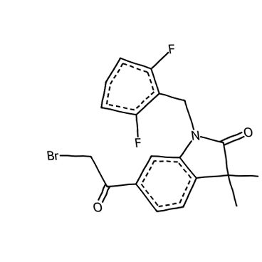 CC1(C)C(=O)N(Cc2c(F)cccc2F)c2cc(C(=O)CBr)ccc21